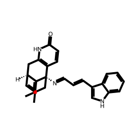 C/C=C1\[C@H]2C=C(C)C[C@]1(N=CC=Cc1c[nH]c3ccccc13)c1ccc(=O)[nH]c1C2